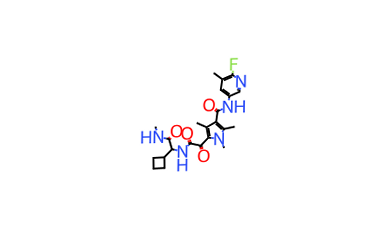 CNC(=O)C(NC(=O)C(=O)c1c(C)c(C(=O)Nc2cnc(F)c(C)c2)c(C)n1C)C1CCC1